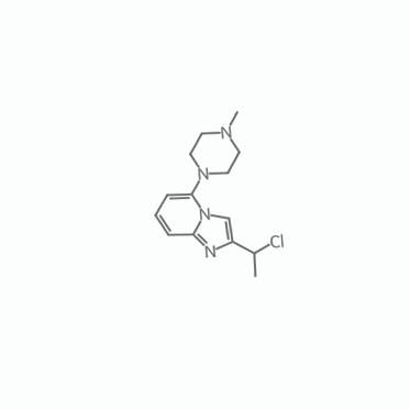 CC(Cl)c1cn2c(N3CCN(C)CC3)cccc2n1